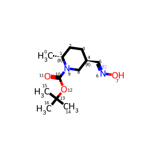 C[C@@H]1CC[C@@H](/C=N/O)CN1C(=O)OC(C)(C)C